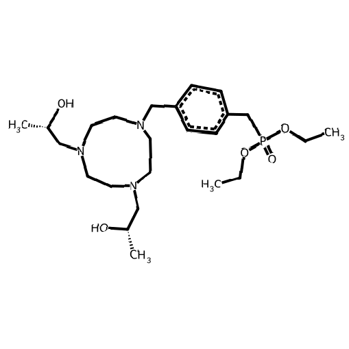 CCOP(=O)(Cc1ccc(CN2CCN(C[C@H](C)O)CCN(C[C@H](C)O)CC2)cc1)OCC